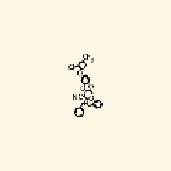 CC(Oc1ccc(Oc2ccc(C(F)(F)F)cc2Cl)cc1)C(=O)C(C#N)C(=O)N(Cc1ccccc1)Cc1ccccc1